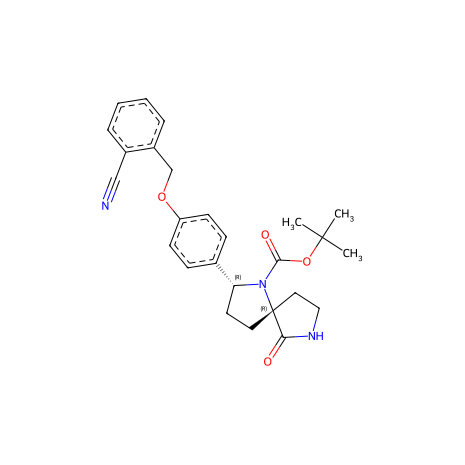 CC(C)(C)OC(=O)N1[C@@H](c2ccc(OCc3ccccc3C#N)cc2)CC[C@]12CCNC2=O